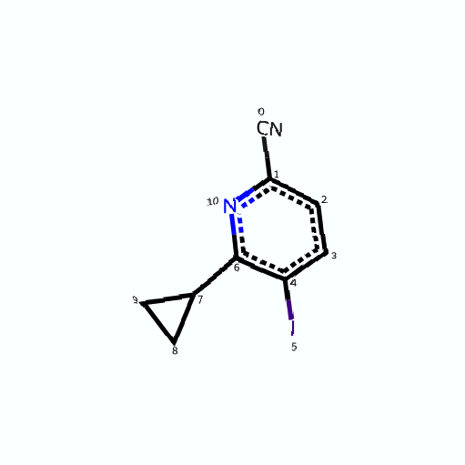 N#Cc1ccc(I)c(C2CC2)n1